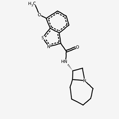 COc1cccc2c(C(=O)N[C@@H]3CN4CCCCCC34)nsc12